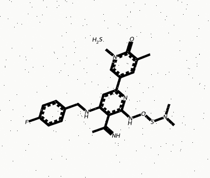 CC(=N)c1c(NCc2ccc(F)cc2)cc(-c2cc(C)c(=O)n(C)c2)nc1NOSN(C)C.S